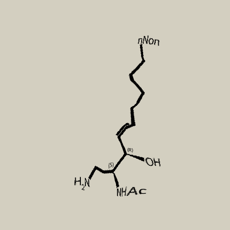 CCCCCCCCCCCCCC=C[C@@H](O)[C@H](CN)NC(C)=O